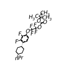 CCC[C@H]1CC[C@H](c2ccc(OC(F)(F)C(F)(F)OC(=O)O[Si](C)(C)C)c(F)c2F)CC1